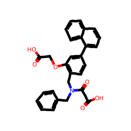 O=C(O)COc1cc(-c2cccc3ccccc23)ccc1CN(Cc1ccccc1)C(=O)C(=O)O